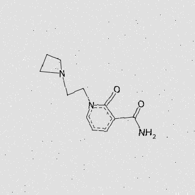 NC(=O)c1cccn(CCN2CCC2)c1=O